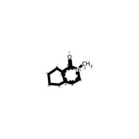 Cn1ccc2c(c1=O)CCCC2